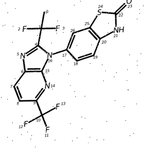 CC(F)(F)c1nc2ccc(C(F)(F)F)nc2n1-c1ccc2[nH]c(=O)sc2c1